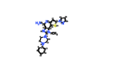 Cn1c(N2CCN(c3ccccc3)CC2)nc2c(N)nc3cc(-n4cccn4)sc3c21